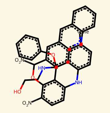 COc1ccc2c(c1)C(NCCO)(Oc1ccccc1)c1c(ccc([N+](=O)[O-])c1OC(c1ccc3nc4ccccc4cc3c1)[N+](=O)[O-])N2